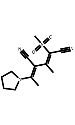 CC(/C(C#N)=C(\C)N1CCCC1)=C(\C#N)S(C)(=O)=O